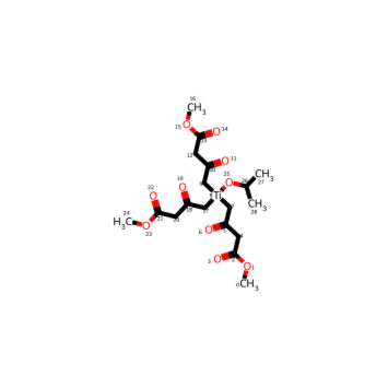 COC(=O)CC(=O)[CH2][Ti]([CH2]C(=O)CC(=O)OC)([CH2]C(=O)CC(=O)OC)[O]C(C)C